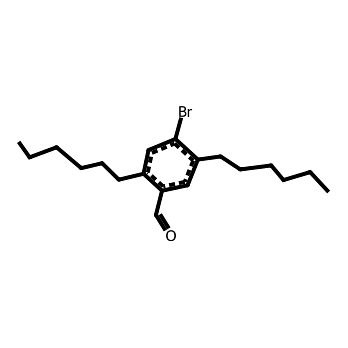 CCCCCCc1cc(C=O)c(CCCCCC)cc1Br